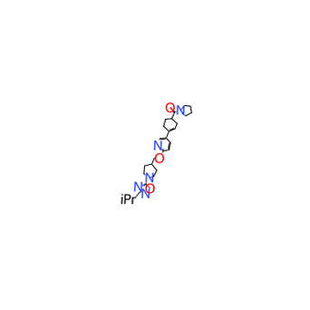 CC(C)c1noc(N2CCC(COc3ccc(C4=CCC(C(=O)N5CCCC5)CC4)cn3)CC2)n1